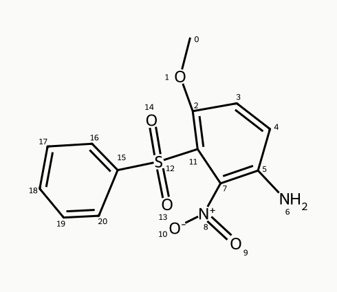 COc1ccc(N)c([N+](=O)[O-])c1S(=O)(=O)c1ccccc1